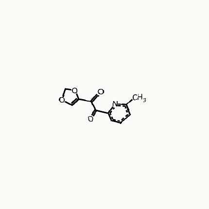 Cc1cccc(C(=O)C(=O)C2=COCO2)n1